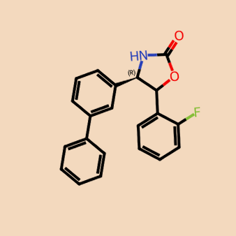 O=C1N[C@H](c2cccc(-c3ccccc3)c2)C(c2ccccc2F)O1